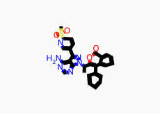 CC(c1oc(=O)c2ccccc2c1-c1ccccc1)n1nc(-c2ccc(S(C)(=O)=O)nc2)c2c(N)ncnc21